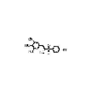 CC(C)c1ccc(S(=O)(=O)C(C#N)=Cc2cc(C(C)(C)C)c(O)c(C(C)(C)C)c2)cc1